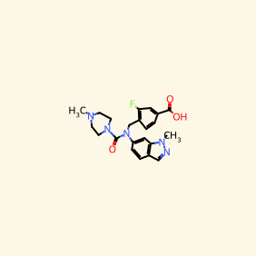 CN1CCN(C(=O)N(Cc2ccc(C(=O)O)cc2F)c2ccc3cnn(C)c3c2)CC1